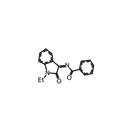 CCN1C(=O)C(=NC(=O)c2ccccc2)c2ccccc21